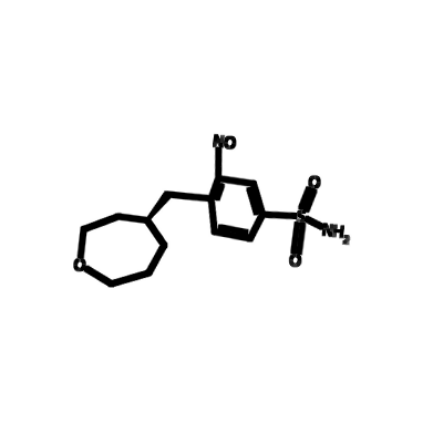 NS(=O)(=O)c1ccc(C[C@H]2CCCOCC2)c(N=O)c1